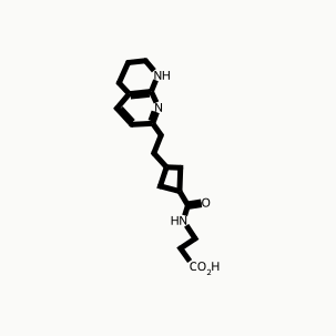 O=C(O)CCNC(=O)C1CC(CCc2ccc3c(n2)NCCC3)C1